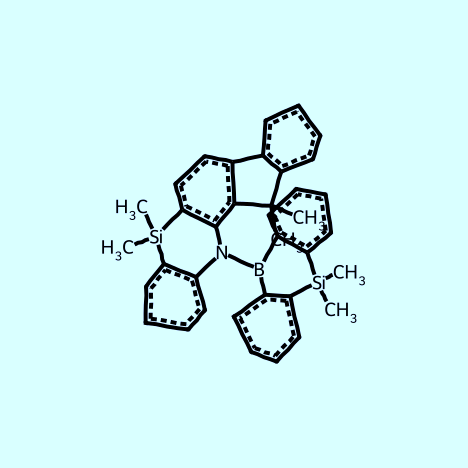 CC1(C)c2ccccc2-c2ccc3c(c21)N(B1c2ccccc2[Si](C)(C)c2ccccc21)c1ccccc1[Si]3(C)C